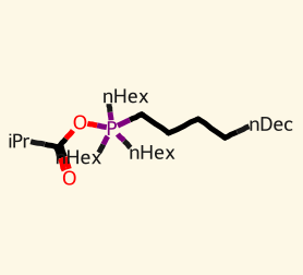 CCCCCCCCCCCCCCP(CCCCCC)(CCCCCC)(CCCCCC)OC(=O)C(C)C